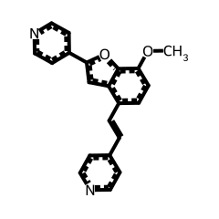 COc1ccc(/C=C/c2ccncc2)c2cc(-c3ccncc3)oc12